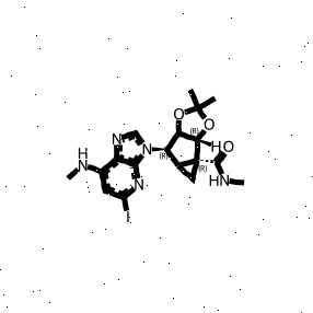 CNC(=O)[C@]12CC1[C@@H](n1cnc3c(NC)cc(I)nc31)C1OC(C)(C)O[C@@H]12